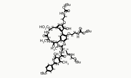 Cc1nc(-c2ccc(C(C)(C)C)cc2)nc(C)c1C(=O)N[C@@H](CCNCOC(C)(C)C)C(=O)N(C)[C@@H]1C(=O)N[C@@H](C)C(=O)N[C@H](C(=O)O)Cc2cc(OCCNC(=O)OC(C)(C)C)c(O)c(c2)-c2cc1ccc2OCCNC(=O)OC(C)(C)C